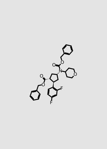 O=C(OCc1ccccc1)[C@@H]1C[C@H](N(C(=O)OCc2ccccc2)C2CCOCC2)C[C@H]1c1ccc(F)cc1F